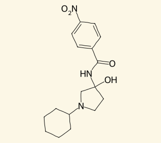 O=C(NC1(O)CCN(C2CCCCC2)C1)c1ccc([N+](=O)[O-])cc1